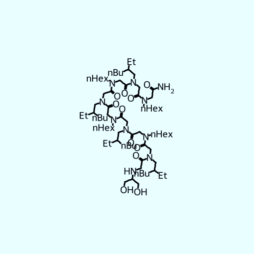 CCCCCCN(CC(N)=O)C(=O)CN(CC(CC)CCCC)C(=O)CN(CCCCCC)C(=O)CN(CC(CC)CCCC)C(=O)CN(CCCCCC)C(=O)CN(CC(CC)CCCC)C(=O)CN(CCCCCC)C(=O)CN(CC(CC)CCCC)C(=O)CNC(CO)CO